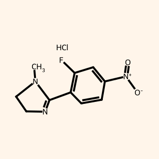 CN1CCN=C1c1ccc([N+](=O)[O-])cc1F.Cl